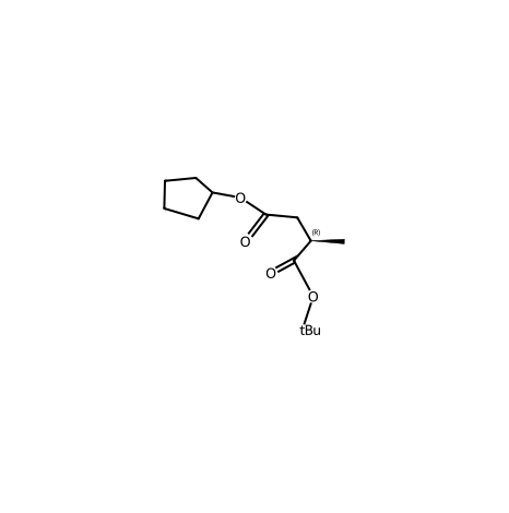 C[C@H](CC(=O)OC1CCCC1)C(=O)OC(C)(C)C